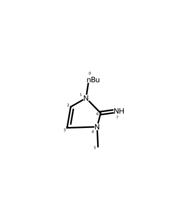 CCCCn1ccn(C)c1=N